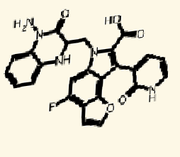 NN1C(=O)C(Cn2c(C(=O)O)c(-c3ccc[nH]c3=O)c3c4occc4c(F)cc32)Nc2ccccc21